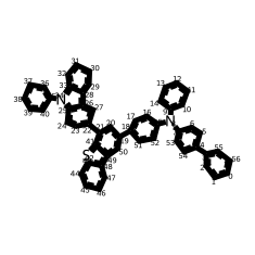 c1ccc(-c2ccc(N(c3ccccc3)c3ccc(-c4cc(-c5ccc6c(c5)c5ccccc5n6-c5ccccc5)c5sc6ccccc6c5c4)cc3)cc2)cc1